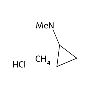 C.CNC1CC1.Cl